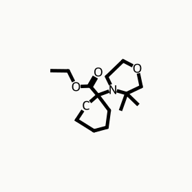 CCOC(=O)C1(N2CCOCC2(C)C)CCCCC1